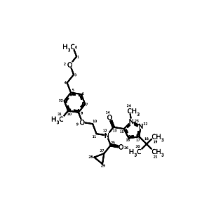 CCOCCc1ccc(OCCN(C(=O)c2cc(C(C)(C)C)nn2C)C(=O)C2CC2)c(C)c1